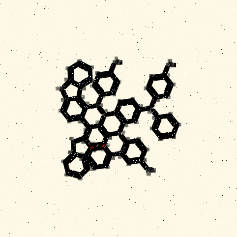 CCCCc1ccc(N2B3c4ccc(N(c5ccccc5)c5ccc(CCCC)cc5)cc4N(c4ccc(CCCC)cc4-c4ccccc4)c4cc5c(oc6ccccc65)c(c43)-c3ccc4oc5ccccc5c4c32)cc1